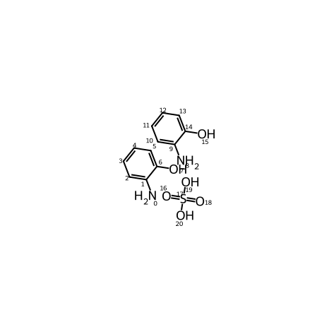 Nc1ccccc1O.Nc1ccccc1O.O=S(=O)(O)O